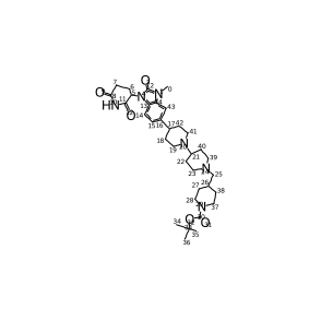 Cn1c(=O)n(C2CCC(=O)NC2=O)c2ccc(C3CCN(C4CCN(CC5CCN(C(=O)OC(C)(C)C)CC5)CC4)CC3)cc21